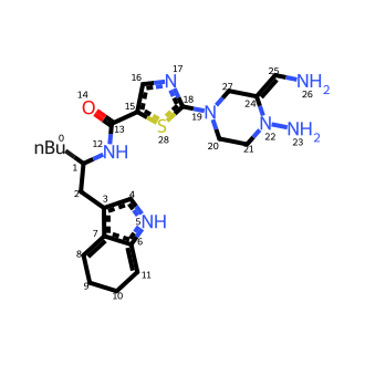 CCCCC(Cc1c[nH]c2c1=CCCC=2)NC(=O)c1cnc(N2CCN(N)/C(=C\N)C2)s1